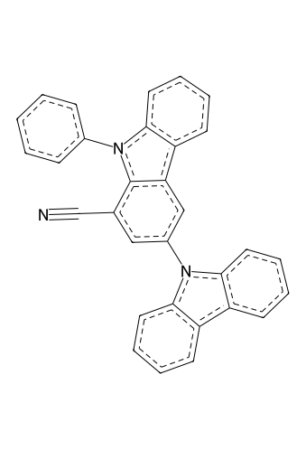 N#Cc1cc(-n2c3ccccc3c3ccccc32)cc2c3ccccc3n(-c3ccccc3)c12